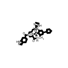 Cc1cc(-c2ccccc2)cc(C)c1S(=O)(=O)NC(CN(CCCNc1ncc[nH]1)C(=O)c1ccc2cn[nH]c2c1)C(=O)O